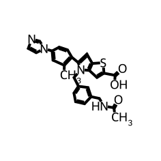 CC(=O)NCc1cccc(Cn2c(-c3ccc(-n4ccnc4)cc3C)cc3sc(C(=O)O)cc32)c1